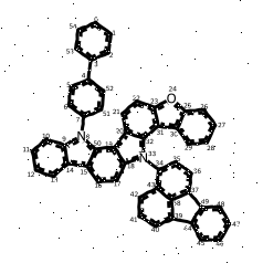 c1ccc(-c2ccc(-n3c4ccccc4c4ccc5c(c6ccc7oc8ccccc8c7c6n5-c5ccc6c7c(cccc57)-c5ccccc5-6)c43)cc2)cc1